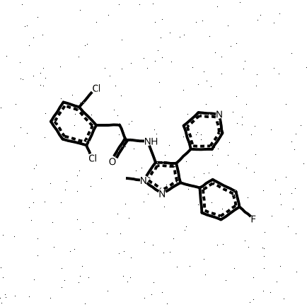 Cn1nc(-c2ccc(F)cc2)c(-c2ccncc2)c1NC(=O)Cc1c(Cl)cccc1Cl